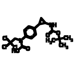 CC(C)(C)OC(=O)NC1CC1c1ccc(N(CC(Cl)(Cl)Cl)C(=O)O)cc1